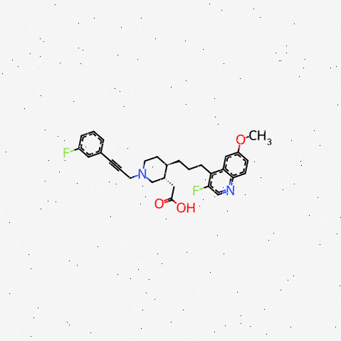 COc1ccc2ncc(F)c(CCC[C@@H]3CCN(CC#Cc4cccc(F)c4)C[C@H]3CC(=O)O)c2c1